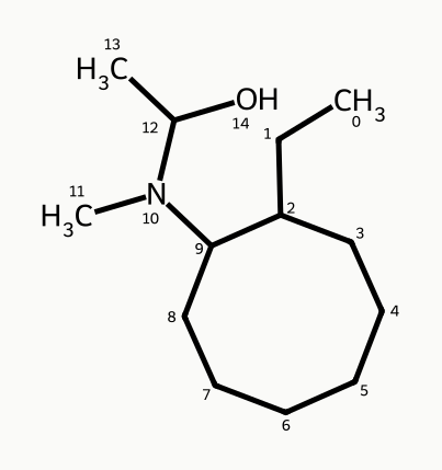 CCC1CCCCCCC1N(C)C(C)O